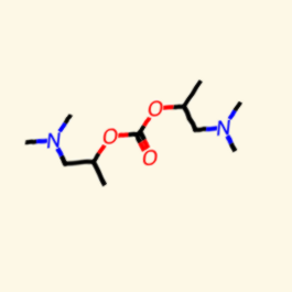 CC(CN(C)C)OC(=O)OC(C)CN(C)C